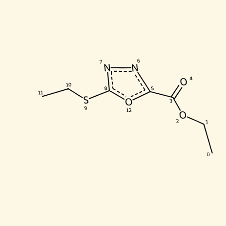 CCOC(=O)c1nnc(SCC)o1